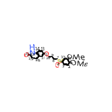 COc1ccc([S+]([O-])CCCCOc2ccc3c(c2)CCC(=O)N3)cc1OC